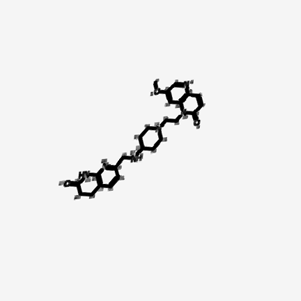 COc1cnc2ccc(=O)n(CCN3CCC(NCc4ccc5c(n4)NC(=O)CC5)CC3)c2c1